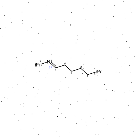 CC(C)CCCC/C=N/C(C)C